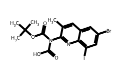 Cc1cc2cc(Br)cc(I)c2nc1N(C(=O)O)C(=O)OC(C)(C)C